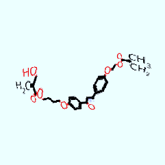 C=C(C)C(=O)OCCOc1ccc(/C=C/C(=O)c2ccc(OCCCCOC(=O)C(=C)CO)cc2)cc1